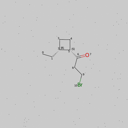 CC[C@@H]1CC[C@@H]1C(=O)CCBr